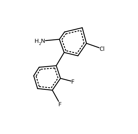 Nc1ccc(Cl)cc1-c1cccc(F)c1F